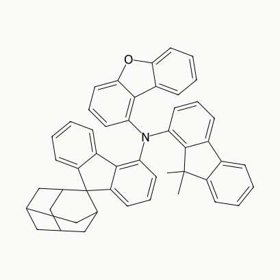 CC1(C)c2ccccc2-c2cccc(N(c3cccc4c3-c3ccccc3C43C4CC5CC(C4)CC3C5)c3cccc4oc5ccccc5c34)c21